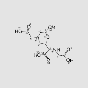 O=C(O)CNC(CCN(CC(=O)O)CC(=O)O)C(=O)O